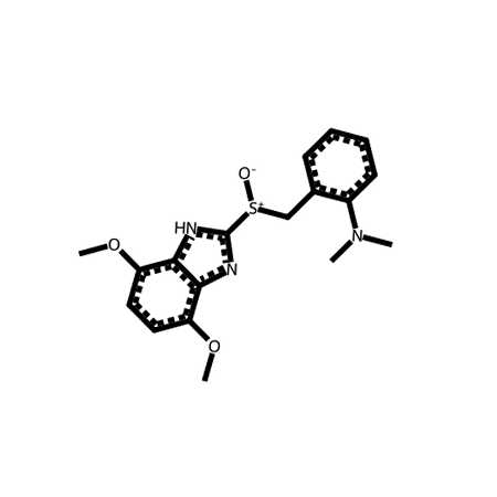 COc1ccc(OC)c2[nH]c([S+]([O-])Cc3ccccc3N(C)C)nc12